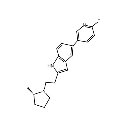 C[C@@H]1CCCN1CCc1cc2cc(-c3ccc(F)nc3)ccc2[nH]1